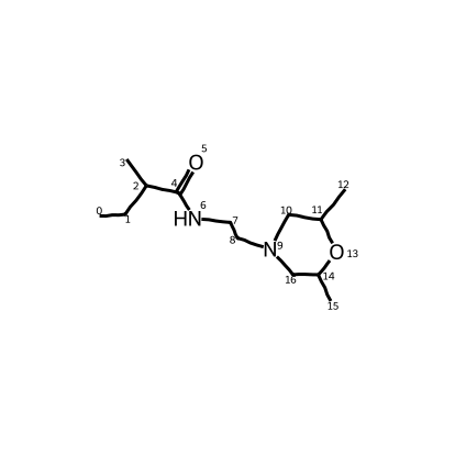 CCC(C)C(=O)NCCN1CC(C)OC(C)C1